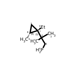 CC[C@]1(C(C)(C)CP)C[C@H]1C